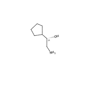 NC[C@@H](O)C1CCCC1